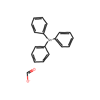 O=C[O-].c1cc[c]([Sn+]([c]2ccccc2)[c]2ccccc2)cc1